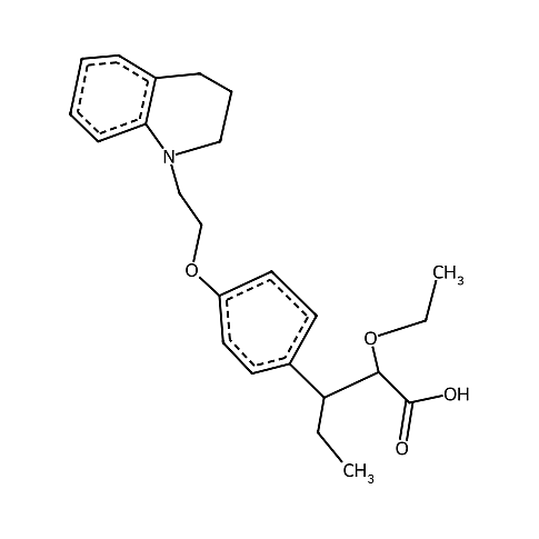 CCOC(C(=O)O)C(CC)c1ccc(OCCN2CCCc3ccccc32)cc1